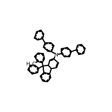 Cc1ccccc1C1(c2ccccc2)c2ccccc2C2C=CC(N(c3ccc(-c4ccccc4)cc3)c3ccc(-c4ccccc4)cc3)=CC21